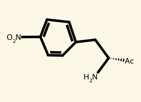 CC(=O)[C@H](N)Cc1ccc([N+](=O)[O-])cc1